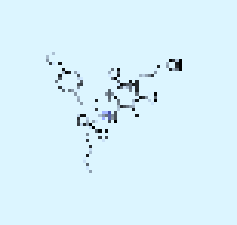 CCCCS(=O)(=O)/C(=N/c1c(C)c(=O)n(CCCO)c(=O)n1C)C(C)Cc1ccc(Cl)cc1